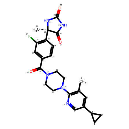 Cc1cc(C2CC2)cnc1N1CCN(C(=O)c2ccc([C@@]3(C)NC(=O)NC3=O)c(F)c2)CC1